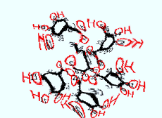 O=C(OCC1OC(OC(=O)c2cc(O)c(O)c(O)c2)C(OC(=O)c2cc(O)c(O)c(O)c2)C(OC(=O)c2cc(O)c(O)c(O)c2)C1OC(=O)C1C=C(O)C(O)=C(O)C1)c1cc(O)c(O)c(O)c1